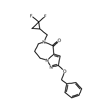 O=C1c2cc(OCc3ccccc3)nn2CCCN1CC1CC1(F)F